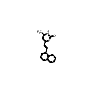 O=c1nc(C=Cc2cccc3ccccc23)cc(C(F)(F)F)[nH]1